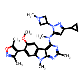 COc1cc2c3c(N(C)c4cc(C5CC5)nn4C4CN(C)C4)nc(C)nc3n(C)c2cc1-c1c(C)noc1C